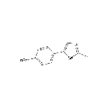 CCCc1ccc(-c2ccc(C)[se]2)cc1